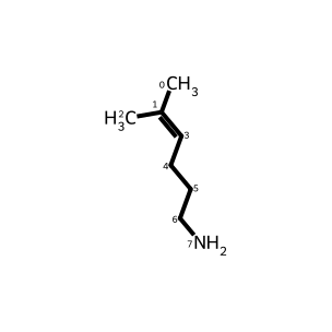 CC(C)=CCCCN